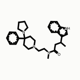 CC(CC(=O)N(C)CCN1CCC(c2ccccc2)(N2CCCC2)CC1)c1c[nH]c2ccccc12